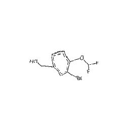 OCc1ccc(OC(F)F)c(Br)c1